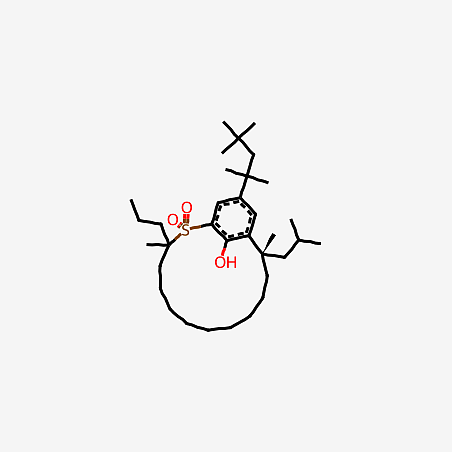 CCCC1(C)CCCCCCCCC[C@@](C)(CC(C)C)c2cc(C(C)(C)CC(C)(C)C)cc(c2O)S1(=O)=O